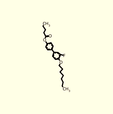 CCCCCCCCOc1ccc(-c2ccc(OC(=O)CCCC)cc2)cc1F